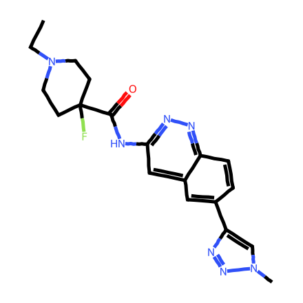 CCN1CCC(F)(C(=O)Nc2cc3cc(-c4cn(C)nn4)ccc3nn2)CC1